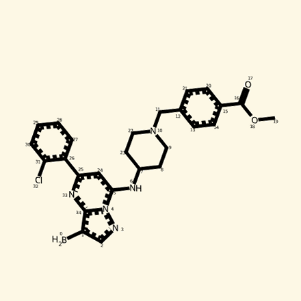 Bc1cnn2c(NC3CCN(Cc4ccc(C(=O)OC)cc4)CC3)cc(-c3ccccc3Cl)nc12